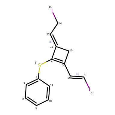 I/C=C/C1=C(Sc2ccccc2)C(=C/CI)/C1